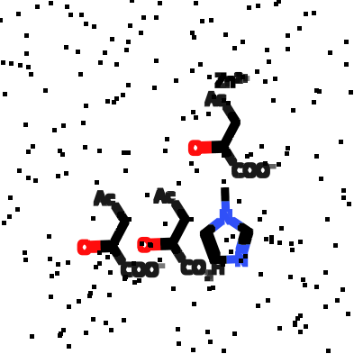 CC(=O)CC(=O)C(=O)O.CC(=O)CC(=O)C(=O)[O-].CC(=O)CC(=O)C(=O)[O-].Cn1ccnc1.[Zn+2]